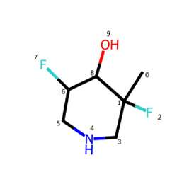 CC1(F)CNCC(F)C1O